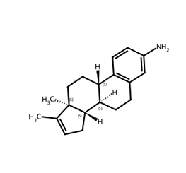 CC1=CC[C@H]2[C@@H]3CCc4cc(N)ccc4[C@H]3CC[C@]12C